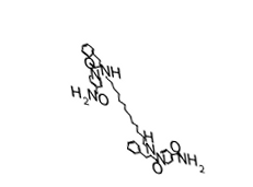 NC(=O)C1=CCN(C(=O)C(Cc2ccccc2)NCCCCCCCCCCCCCNC(Cc2ccccc2)C(=O)N2C=CC(C(N)=O)=CC2)C=C1